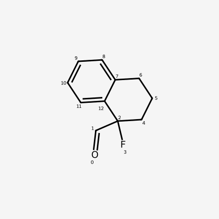 O=CC1(F)CCCc2ccccc21